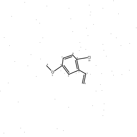 C=[C]c1cc(OC)ccc1Cl